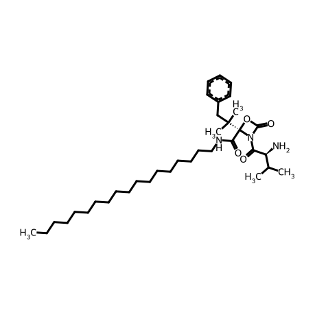 CCCCCCCCCCCCCCCCCCNC(=O)[C@@]1(C(C)(C)Cc2ccccc2)OC(=O)N1C(=O)[C@@H](N)C(C)C